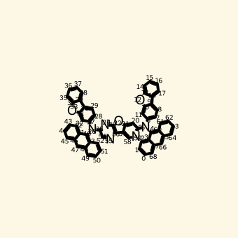 c1ccc2c(N(c3ccc4c(c3)oc3ccccc34)c3cc4oc5nc(N(c6ccc7c(c6)oc6ccccc67)c6c7ccccc7cc7ccccc67)cnc5c4cn3)c3ccccc3cc2c1